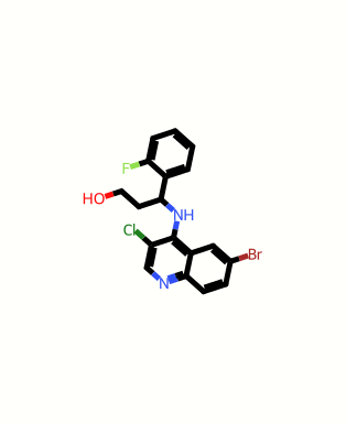 OCCC(Nc1c(Cl)cnc2ccc(Br)cc12)c1ccccc1F